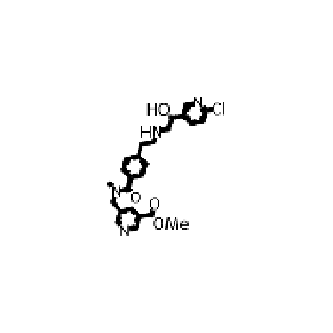 COC(=O)c1cncc(CN(C)C(=O)c2ccc(CCNC[C@H](O)c3ccc(Cl)nc3)cc2)c1